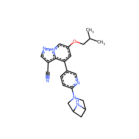 CC(C)COc1cc(-c2ccc(N3CC4CC(C3)N4)nc2)c2c(C#N)cnn2c1